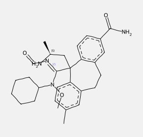 CON(/C(=N\C=O)C1(C[C@H](C)N)c2ccc(C)cc2CCc2cc(C(N)=O)ccc21)C1CCCCC1